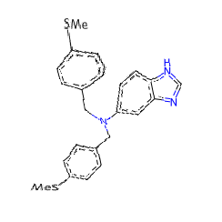 CSc1ccc(CN(Cc2ccc(SC)cc2)c2ccc3[nH]cnc3c2)cc1